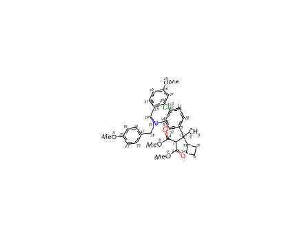 COC(=O)C(C(=O)OC)C(C)(c1ccc(Cl)c(N(Cc2ccc(OC)cc2)Cc2ccc(OC)cc2)c1)C1CCC1